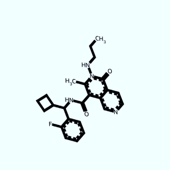 CCCNn1c(C)c(C(=O)NC(c2ccccc2F)C2CCC2)c2cnccc2c1=O